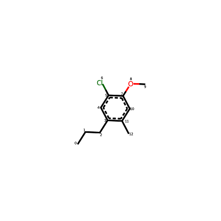 CCCc1cc(Cl)c(OC)cc1C